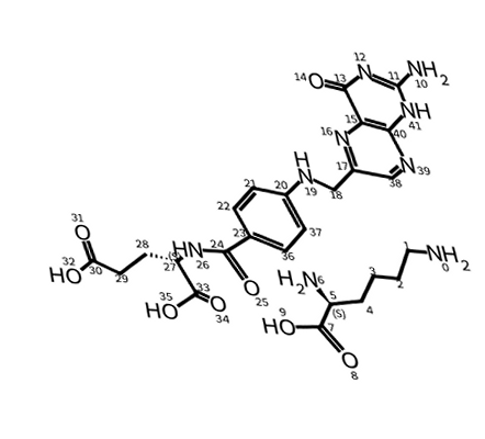 NCCCC[C@H](N)C(=O)O.Nc1nc(=O)c2nc(CNc3ccc(C(=O)N[C@@H](CCC(=O)O)C(=O)O)cc3)cnc2[nH]1